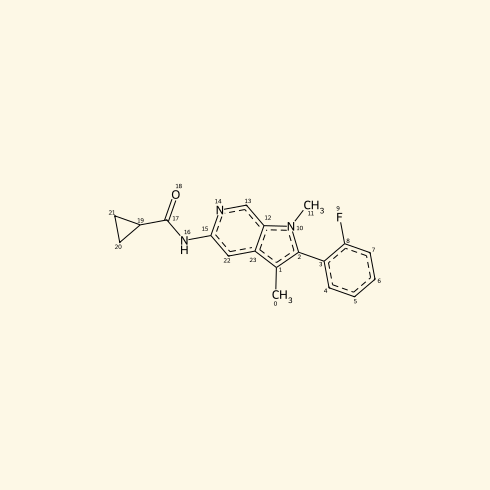 Cc1c(-c2ccccc2F)n(C)c2cnc(NC(=O)C3CC3)cc12